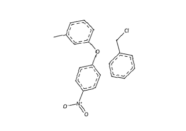 Cc1cccc(Oc2ccc([N+](=O)[O-])cc2)c1.ClCc1ccccc1